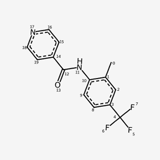 Cc1cc(C(F)(F)F)ccc1NC(=O)c1ccncc1